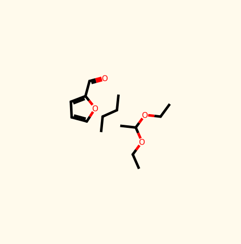 CCCC.CCOC(C)OCC.O=Cc1ccco1